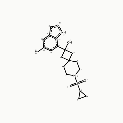 O=S(=O)(C1CC1)N1CCC2(CC1)CC(O)(c1cc(Cl)cc3cn[nH]c13)C2